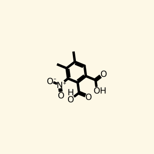 Cc1cc(C(=O)O)c(C(=O)O)c([N+](=O)[O-])c1C